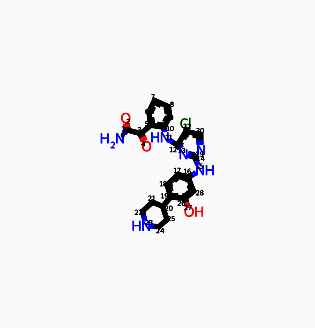 NC(=O)C(=O)c1ccccc1Nc1nc(Nc2ccc(C3CCNCC3)c(O)c2)ncc1Cl